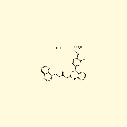 Cc1cc(C2CC(CNCCc3cccc4ccccc34)Oc3ccccc32)ccc1OCC(=O)O.Cl